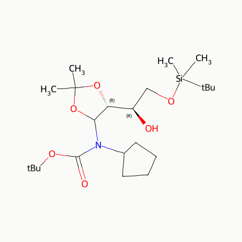 CC(C)(C)OC(=O)N(C1CCCC1)C1OC(C)(C)O[C@@H]1[C@H](O)CO[Si](C)(C)C(C)(C)C